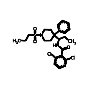 CCCS(=O)(=O)N1CCC(c2ccccc2)(C(CC)NC(=O)c2c(Cl)cccc2Cl)CC1